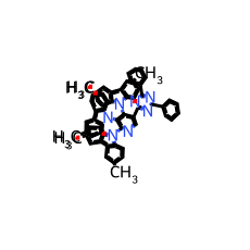 Cc1ccc2c(c1)c1cc(C)ccc1n2-c1ncc(-c2nc(-c3ccccc3)nc(-c3ccccc3)n2)c(-n2c3ccc(C)cc3c3cc(C)ccc32)c1-n1c2ccc(C)cc2c2cc(C)ccc21